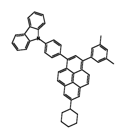 Cc1cc(C)cc(-c2cc(-c3ccc(-n4c5ccccc5c5ccccc54)cc3)c3ccc4cc(C5CCCCC5)cc5ccc2c3c45)c1